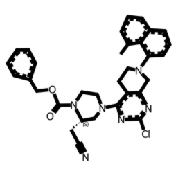 Cc1cccc2cccc(N3CCc4c(nc(Cl)nc4N4CCN(C(=O)OCc5ccccc5)[C@@H](CC#N)C4)C3)c12